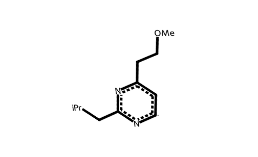 COCCc1c[c]nc(CC(C)C)n1